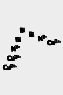 [B].[B].[B].[Cu+2].[Cu+2].[Cu+2].[N-3].[N-3]